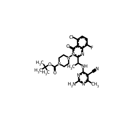 Cc1nc(N)nc(NC(C)c2nc3c(F)ccc(Cl)c3c(=O)n2N2CCN(C(=O)OC(C)(C)C)CC2)c1C#N